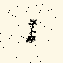 CCC(C)(C)C(=O)OCC(=O)OC12CCC(C)(C(=O)O1)C2(C)C